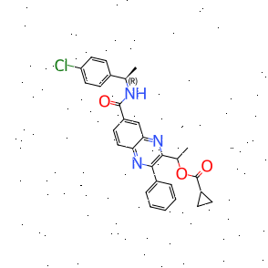 CC(OC(=O)C1CC1)c1nc2cc(C(=O)N[C@H](C)c3ccc(Cl)cc3)ccc2nc1-c1ccccc1